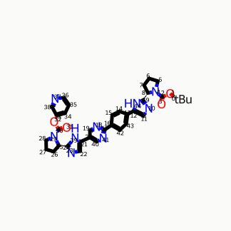 CC(C)(C)OC(=O)N1CCC[C@H]1c1ncc(-c2ccc(-c3ncc(-c4cnc([C@@H]5CCCN5C(=O)Oc5cccnc5)[nH]4)cn3)cc2)[nH]1